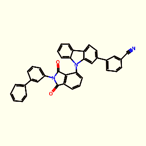 N#Cc1cccc(-c2ccc3c4ccccc4n(-c4cccc5c4C(=O)N(c4cccc(-c6ccccc6)c4)C5=O)c3c2)c1